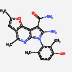 Cc1cc2c(C)nc3c(c(C(N)=O)c(N)n3-c3c(C)ccc(O)c3C)c2o1